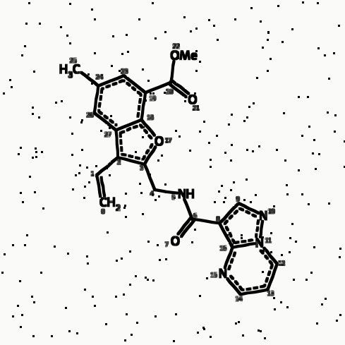 C=Cc1c(CNC(=O)c2cnn3cccnc23)oc2c(C(=O)OC)cc(C)cc12